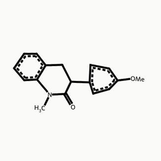 COc1ccc(C2Cc3ccccc3N(C)C2=O)cc1